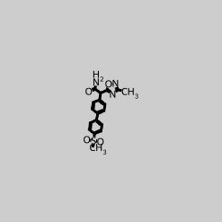 Cc1noc(C(C(N)=O)c2ccc(-c3ccc(S(C)(=O)=O)cc3)cc2)n1